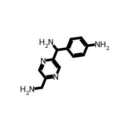 NCc1cnc(C(N)c2ccc(N)cc2)cn1